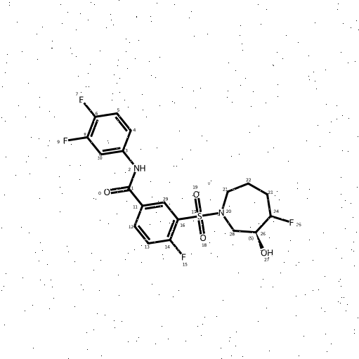 O=C(Nc1ccc(F)c(F)c1)c1ccc(F)c(S(=O)(=O)N2CCCC(F)[C@@H](O)C2)c1